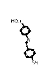 O=C(O)c1ccc(N=Nc2ccc(S)cc2)cc1